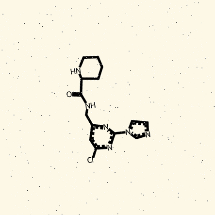 O=C(NCc1cc(Cl)nc(-n2ccnc2)n1)C1CCCCN1